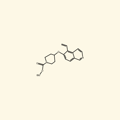 C=Cc1c(OC2CCN(C(=O)OC(C)(C)C)CC2)ccc2cnccc12